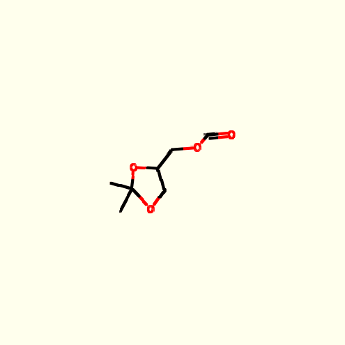 CC1(C)OCC(CO[C]=O)O1